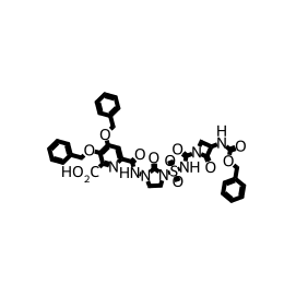 O=C(NC1CN(C(=O)NS(=O)(=O)N2CCN(NC(=O)c3cc(OCc4ccccc4)c(OCc4ccccc4)c(C(=O)O)n3)C2=O)C1=O)OCc1ccccc1